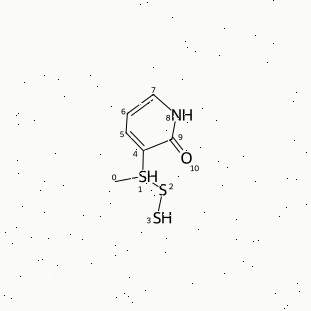 C[SH](SS)c1ccc[nH]c1=O